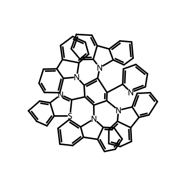 c1ccc(-c2c(-n3c4ccccc4c4ccccc43)c(-n3c4ccccc4c4ccccc43)c(-c3nc4ccccc4s3)c(-n3c4ccccc4c4ccccc43)c2-n2c3ccccc3c3ccccc32)nc1